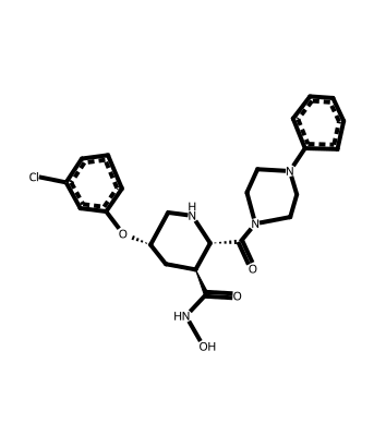 O=C(NO)[C@H]1C[C@H](Oc2cccc(Cl)c2)CN[C@@H]1C(=O)N1CCN(c2ccccc2)CC1